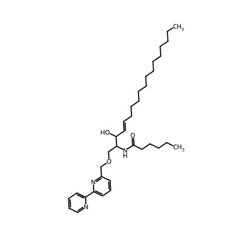 CCCCCCCCCCCCC/C=C/C(O)C(COCc1cccc(-c2ccccn2)n1)NC(=O)CCCCC